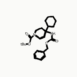 CC(C)(C)OC(=O)N1CCC(NC(=O)OCc2ccccc2)(C2CCCCC2)CC1